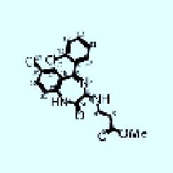 COC(=O)CCNC1N=C(c2ccccc2Cl)c2cc(Cl)ccc2NC1=O